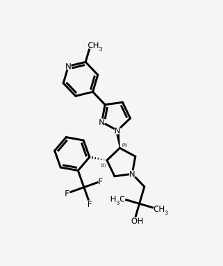 Cc1cc(-c2ccn([C@H]3CN(CC(C)(C)O)C[C@@H]3c3ccccc3C(F)(F)F)n2)ccn1